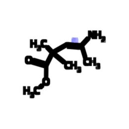 COC(=O)C(C)(C)/C=C(\C)N